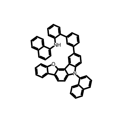 c1cc(-c2ccc3c(c2)c2c4oc5ccccc5c4ccc2n3-c2cccc3ccccc23)cc(-c2ccccc2Nc2cccc3ccccc23)c1